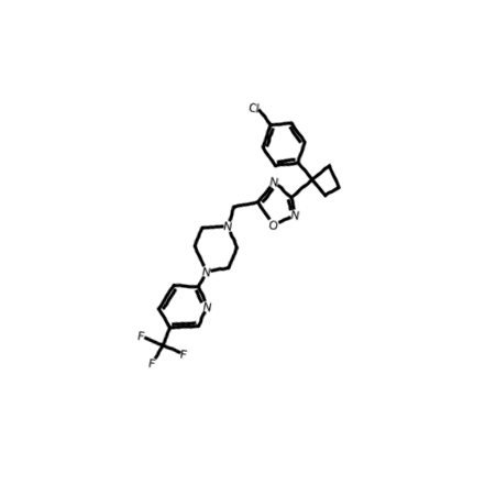 FC(F)(F)c1ccc(N2CCN(Cc3nc(C4(c5ccc(Cl)cc5)CCC4)no3)CC2)nc1